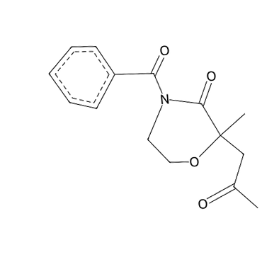 CC(=O)CC1(C)OCCN(C(=O)c2ccccc2)C1=O